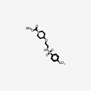 CC(C)(C)OC(=O)N1CCC(OCCNS(=O)(=O)c2ccc([N+](=O)[O-])cc2)CC1